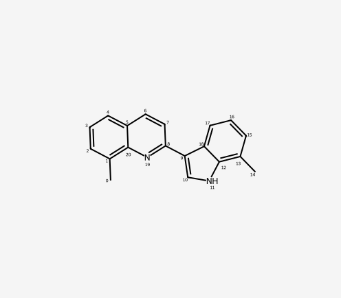 Cc1cccc2ccc(-c3c[nH]c4c(C)cccc34)nc12